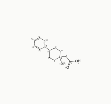 O=C(O)CC1(S)CCC(c2ccccc2)CC1